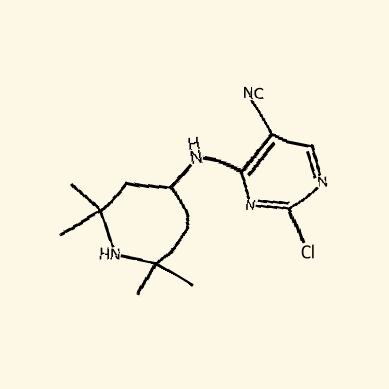 [C-]#[N+]c1cnc(Cl)nc1NC1CC(C)(C)NC(C)(C)C1